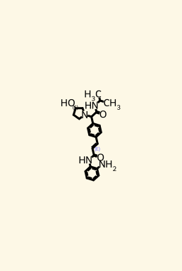 CC(C)NC(=O)C(c1ccc(/C=C/C(=O)Nc2ccccc2N)cc1)N1CC[C@H](O)C1